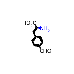 NC(=Cc1ccc(C=O)cc1)C(=O)O